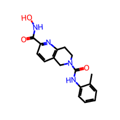 Cc1ccccc1NC(=O)N1CCc2nc(C(=O)NO)ccc2C1